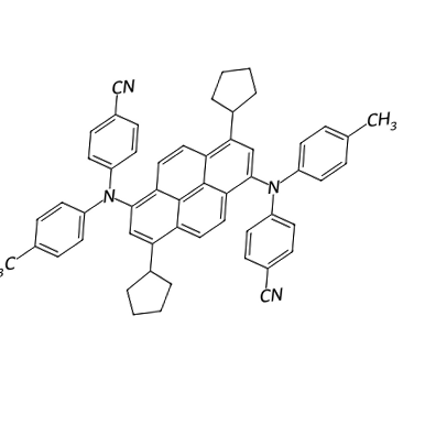 Cc1ccc(N(c2ccc(C#N)cc2)c2cc(C3CCCC3)c3ccc4c(N(c5ccc(C)cc5)c5ccc(C#N)cc5)cc(C5CCCC5)c5ccc2c3c54)cc1